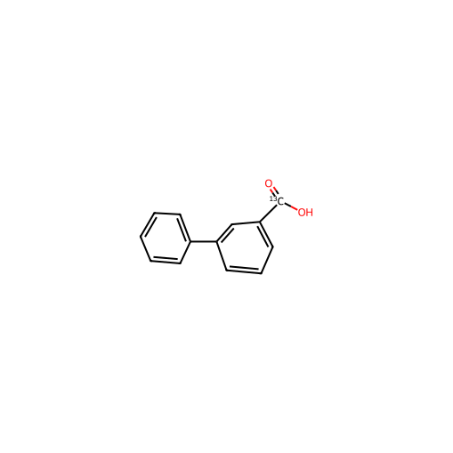 O=[13C](O)c1cccc(-c2ccccc2)c1